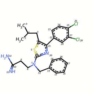 CC(C)Cc1sc(N(CCC(=N)N)Cc2ccccc2)nc1-c1ccc(Cl)c(Cl)c1